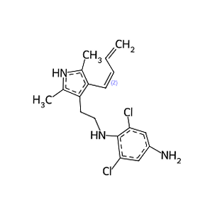 C=C/C=C\c1c(C)[nH]c(C)c1CCNc1c(Cl)cc(N)cc1Cl